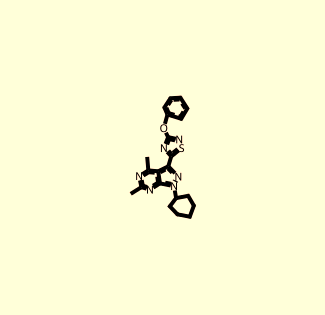 Cc1nc(C)c2c(-c3nc(Oc4ccccc4)ns3)nn(C3CCCCC3)c2n1